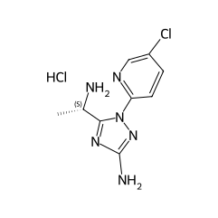 C[C@H](N)c1nc(N)nn1-c1ccc(Cl)cn1.Cl